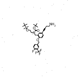 CC(C)(C)OC(=O)N(CCO[Si](C)(C)C(C)(C)C)Cc1cc(C#CCCN)ccc1OCc1ccc(F)c(C(F)(F)F)c1